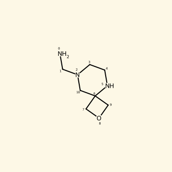 NCN1CCNC2(COC2)C1